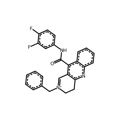 O=C(Nc1ccc(F)c(F)c1)c1c2c(nc3ccccc13)CC[N+](Cc1ccccc1)=C2